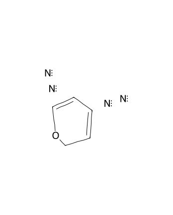 C1=CCOC=C1.[N].[N].[N].[N]